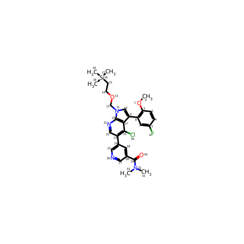 COc1ccc(F)cc1-c1cn(COCC[Si](C)(C)C)c2ncc(-c3cncc(C(=O)N(C)C)c3)c(Cl)c12